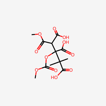 COC(=O)OC(C(=O)O)(C(C(=O)O)C(=O)OC)C(C)(C)C(=O)O